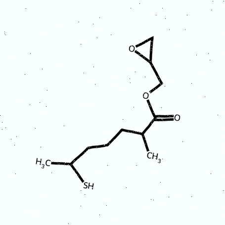 CC(S)CCCC(C)C(=O)OCC1CO1